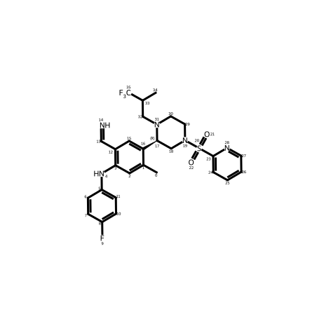 Cc1cc(Nc2ccc(F)cc2)c(C=N)cc1[C@@H]1CN(S(=O)(=O)c2ccccn2)CCN1CC(C)C(F)(F)F